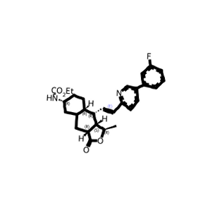 CCOC(=O)N[C@@H]1CC[C@@H]2C(C1)C[C@H]1C(=O)O[C@H](C)[C@H]1[C@H]2/C=C/c1ccc(-c2cccc(F)c2)cn1